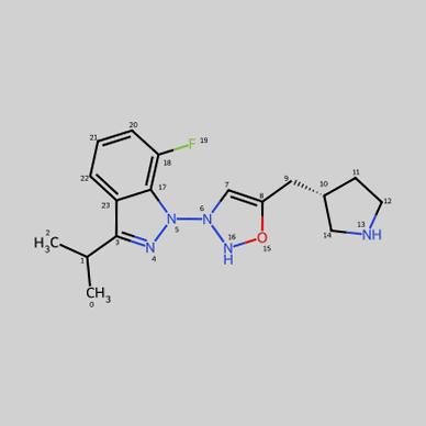 CC(C)c1nn(N2C=C(C[C@@H]3CCNC3)ON2)c2c(F)cccc12